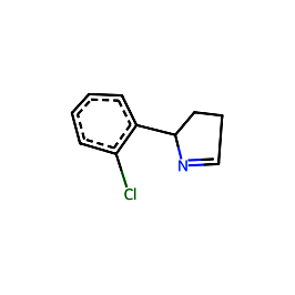 Clc1ccccc1C1CCC=N1